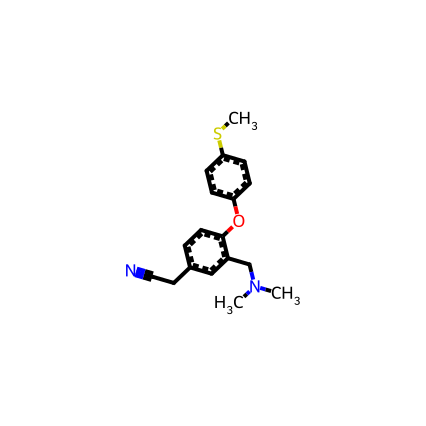 CSc1ccc(Oc2ccc(CC#N)cc2CN(C)C)cc1